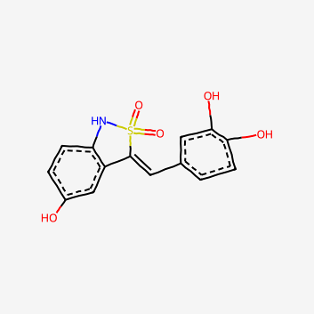 O=S1(=O)Nc2ccc(O)cc2C1=Cc1ccc(O)c(O)c1